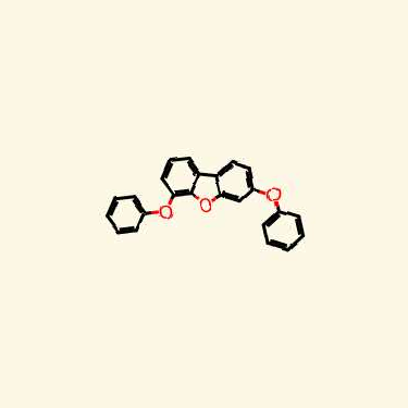 c1ccc(Oc2ccc3c(c2)oc2c(Oc4ccccc4)cccc23)cc1